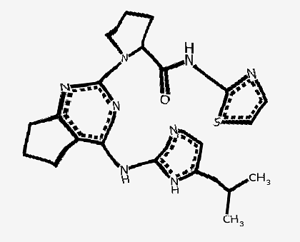 CC(C)c1cnc(Nc2nc(N3CCCC3C(=O)Nc3nccs3)nc3c2CCC3)[nH]1